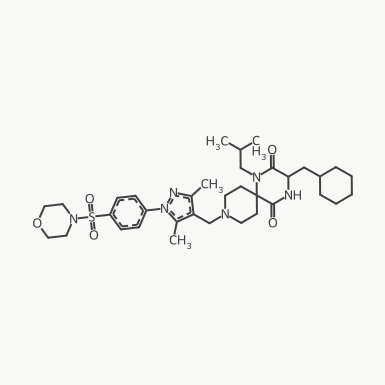 Cc1nn(-c2ccc(S(=O)(=O)N3CCOCC3)cc2)c(C)c1CN1CCC2(CC1)C(=O)NC(CC1CCCCC1)C(=O)N2CC(C)C